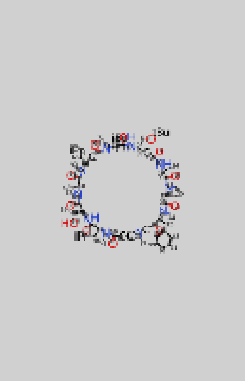 CC[C@H](C)[C@H]1C(=O)N[C@@H](COC(C)(C)C)CC(=O)NC(C)C(=O)N(C)[C@@H](C)C(=O)N(C)[C@@H](Cc2ccccc2)C(=O)CN(C)CCC(=O)N(C)C(CC(C)C)C(=O)N[C@@H]([C@@H](C)O)C(=O)N(C)[C@@H](C)C(=O)N(C)[C@@H](CC(C)C)CC(=O)N1C